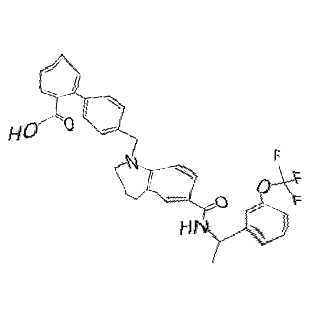 CC(NC(=O)c1ccc2c(c1)CCCN2Cc1ccc(-c2ccccc2C(=O)O)cc1)c1cccc(OC(F)(F)F)c1